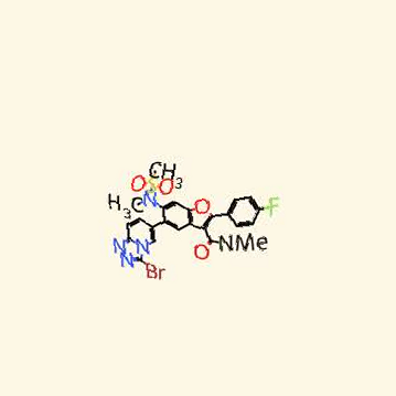 CNC(=O)c1c(-c2ccc(F)cc2)oc2cc(N(C)S(C)(=O)=O)c(-c3ccc4nnc(Br)n4c3)cc12